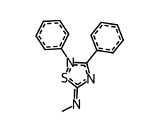 CN=c1nc(-c2ccccc2)n(-c2ccccc2)s1